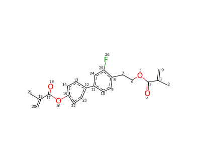 C=C(C)C(=O)OCCc1ccc(-c2ccc(OC(=O)C(=C)C)cc2)cc1F